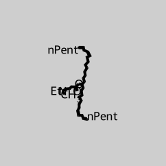 CCCCC/C=C\C/C=C\CCCCCCCCC(CCCCCCC/C=C\C/C=C\CCCCC)OC(=O)CCCN(C)CC